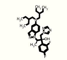 CCC(CC)CN(CC(CC)CC)c1ccc2c(cnn2[C@H](C)[C@](O)(Cn2cncn2)c2ccc(F)cc2F)c1